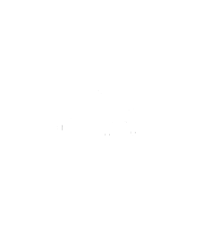 O=C(O)C(=O)c1csc2ccc(Cl)cc12